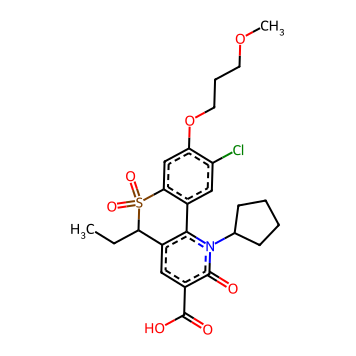 CCC1c2cc(C(=O)O)c(=O)n(C3CCCC3)c2-c2cc(Cl)c(OCCCOC)cc2S1(=O)=O